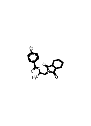 CCc1ccc(C(=O)OC(C)CN2C(=O)C3CCCCC3C2=O)cc1